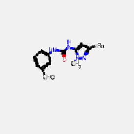 Cn1nc(C(C)(C)C)cc1NC(=O)Nc1cccc(C=O)c1